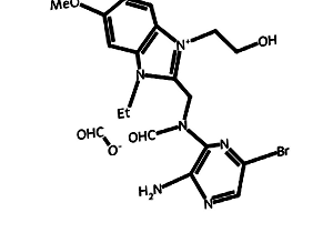 CCn1c(CN(C=O)c2nc(Br)cnc2N)[n+](CCO)c2ccc(OC)cc21.O=C[O-]